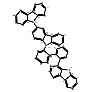 c1ccc(-c2nccc3c2oc2ccccc23)c(-c2ccccc2-n2c3ccccc3c3cc(-n4c5ccccc5c5ccccc54)ccc32)c1